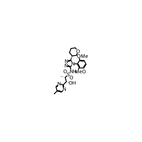 COc1cccc(OC)c1-n1c(NS(=O)(=O)[C@@H](C)[C@H](O)c2ncc(C)cn2)nnc1[C@H]1CCCOC1